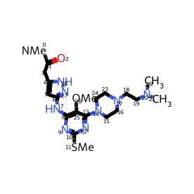 CNC(=O)Cc1cc(Nc2nc(SC)nc(N3CCN(CCN(C)C)CC3)c2OC)n[nH]1